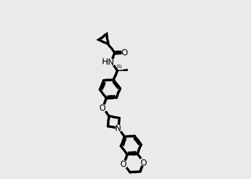 C[C@H](NC(=O)C1CC1)c1ccc(OC2CN(c3ccc4c(c3)OCCO4)C2)cc1